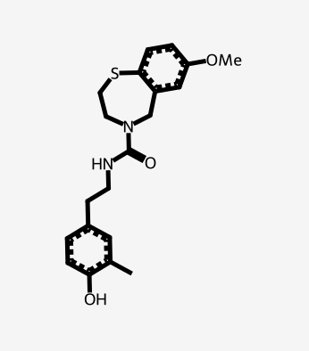 COc1ccc2c(c1)CN(C(=O)NCCc1ccc(O)c(C)c1)CCS2